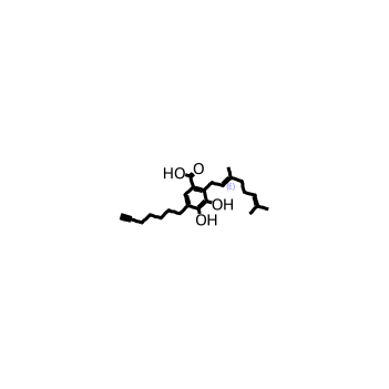 C#CCCCCCc1cc(C(=O)O)c(C/C=C(\C)CCC=C(C)C)c(O)c1O